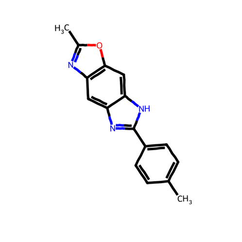 Cc1ccc(-c2nc3cc4nc(C)oc4cc3[nH]2)cc1